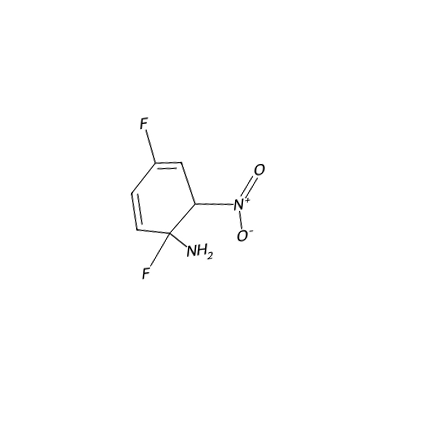 NC1(F)C=CC(F)=CC1[N+](=O)[O-]